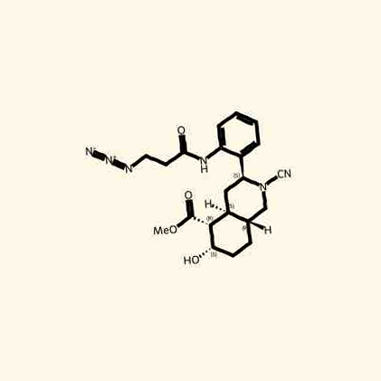 COC(=O)[C@@H]1[C@H]2C[C@@H](c3ccccc3NC(=O)CCN=[N+]=[N-])N(C#N)C[C@@H]2CC[C@@H]1O